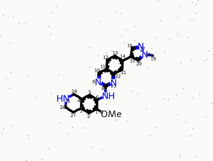 COc1cc2c(cc1Nc1ncc3ccc(-c4cnn(C)c4)cc3n1)CNCC2